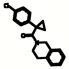 O=C(N1CCc2ccccc2C1)C1(c2ccc(Cl)cc2)CC1